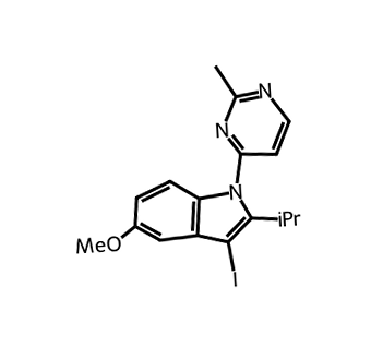 COc1ccc2c(c1)c(I)c(C(C)C)n2-c1ccnc(C)n1